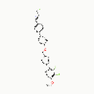 CCCCOc1ccc(-c2ccc(COc3ccc(-c4ccc(/C=C/CF)cc4)cc3)cc2)c(F)c1F